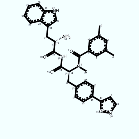 Cc1cc(C)cc(C(=O)N(C)[C@@H](Cc2ccc(-c3ccno3)cc2)C(=O)NC(=O)[C@@H](N)Cc2c[nH]c3ccccc23)c1